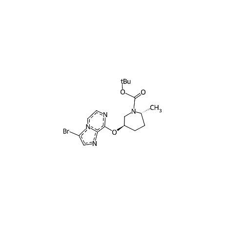 C[C@@H]1CC[C@@H](Oc2nccn3c(Br)cnc23)CN1C(=O)OC(C)(C)C